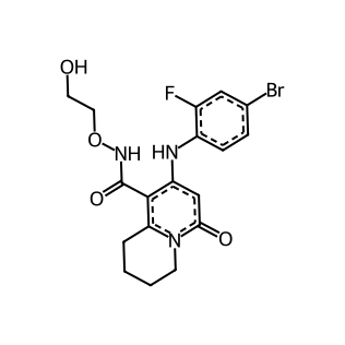 O=C(NOCCO)c1c(Nc2ccc(Br)cc2F)cc(=O)n2c1CCCC2